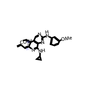 C=C(/C=c1/nc(NC2CC2)c2nc(Nc3cccc(OC)c3)ncc2/c1=C/C)C(=O)O